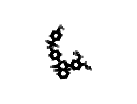 COc1ccc(C2=NN(c3ccc(NS(=O)(=O)c4ccc(C)cc4)cc3)C(=O)[C@@H]3CC=CC[C@H]23)cc1OC